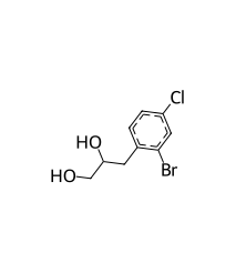 OCC(O)Cc1ccc(Cl)cc1Br